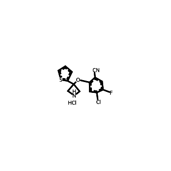 Cl.N#Cc1cc(F)c(Cl)cc1OC1(c2cccs2)CNC1